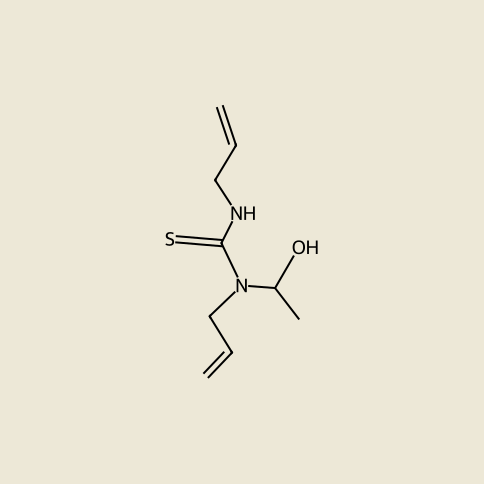 C=CCNC(=S)N(CC=C)C(C)O